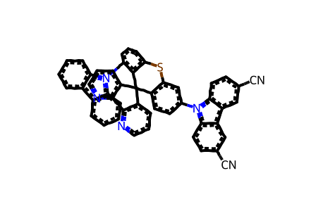 N#Cc1ccc2c(c1)c1cc(C#N)ccc1n2-c1ccc2c(c1)Sc1cccc(-n3c4ccccc4c4ccccc43)c1C21c2cccnc2-c2ncccc21